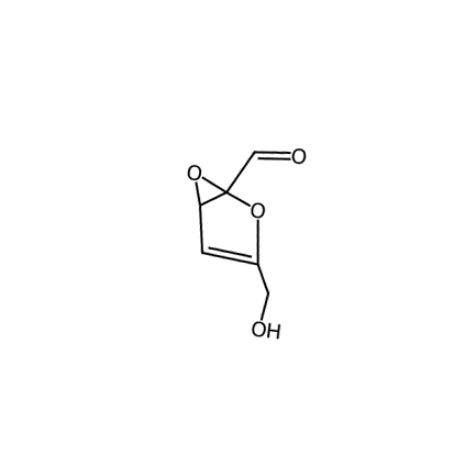 O=CC12OC(CO)=CC1O2